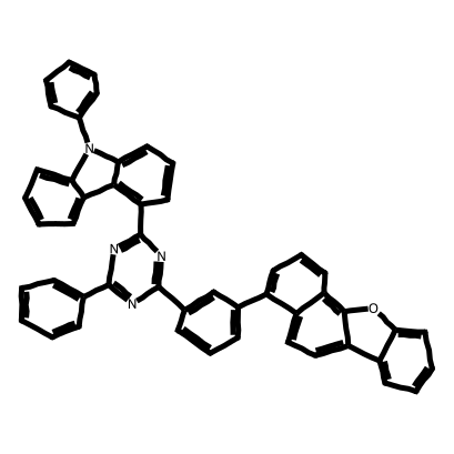 c1ccc(-c2nc(-c3cccc(-c4cccc5c4ccc4c6ccccc6oc54)c3)nc(-c3cccc4c3c3ccccc3n4-c3ccccc3)n2)cc1